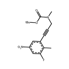 Cc1c(F)cc([N+](=O)[O-])cc1C#CCN(C)C(=O)OC(C)(C)C